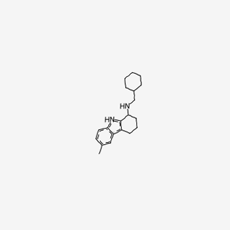 Cc1ccc2[nH]c3c(c2c1)CCCC3NCC1CCCCC1